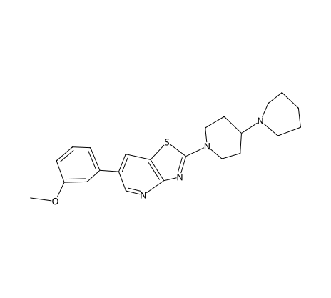 COc1cccc(-c2cnc3nc(N4CCC(N5CCCCC5)CC4)sc3c2)c1